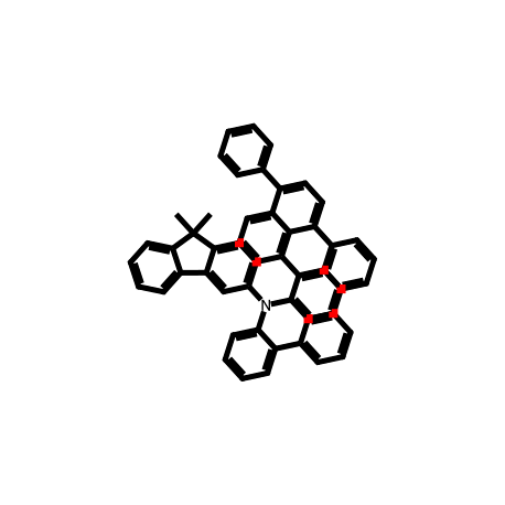 CC1(C)c2ccccc2-c2cc(N(c3ccccc3-c3ccccc3)c3ccccc3-c3cccc4c(-c5ccccc5)ccc(-c5ccccc5)c34)ccc21